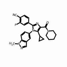 Cn1ncc2cc(-n3c(-c4ccc(C#N)c(F)c4)nc(C(=O)N4CCCCC4)c3C3CC3)ccc21